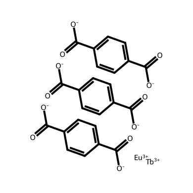 O=C([O-])c1ccc(C(=O)[O-])cc1.O=C([O-])c1ccc(C(=O)[O-])cc1.O=C([O-])c1ccc(C(=O)[O-])cc1.[Eu+3].[Tb+3]